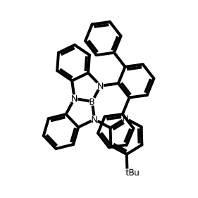 CC(C)(C)c1ccnc(N2B3N(c4ccccc42)c2ccccc2N3c2c(-c3ccccc3)cccc2-c2ccccc2)c1